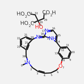 CN1CC=CCCOc2cccc(c2)C2=CC=NC(=Nc3cccc(c3)C1)N2.O=C(O)CC(O)(CC(=O)O)C(=O)O